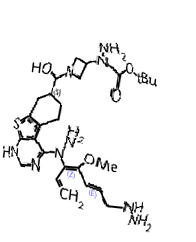 C=C/C(=C(\C=C\CNN)OC)N(N)C1=NCNc2sc3c(c21)CC[C@H](C(O)N1CC(N(N)C(=O)OC(C)(C)C)C1)C3